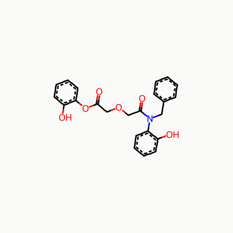 O=C(COCC(=O)N(Cc1ccccc1)c1ccccc1O)Oc1ccccc1O